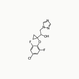 OC(Cn1cncn1)C1(Oc2c(F)cc(Cl)cc2F)CC1